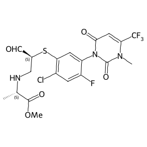 COC(=O)[C@H](C)NC[C@@H](C=O)Sc1cc(-n2c(=O)cc(C(F)(F)F)n(C)c2=O)c(F)cc1Cl